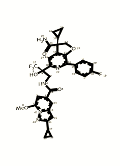 COc1cc(C(=O)NC[C@](O)(c2cc3c(c(-c4ccc(F)cc4)n2)OC[C@]3(C(N)=O)C2CC2)C(F)(F)F)cc2cc(C3CC3)nn12